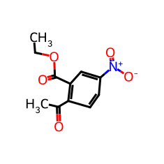 CCOC(=O)c1cc([N+](=O)[O-])ccc1C(C)=O